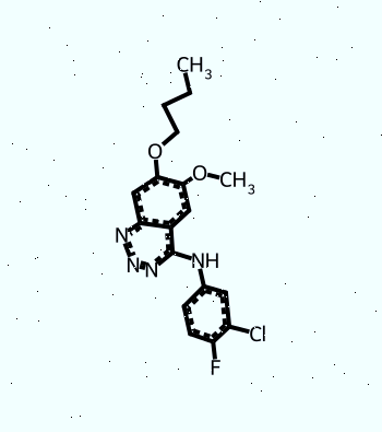 CCCCOc1cc2nnnc(Nc3ccc(F)c(Cl)c3)c2cc1OC